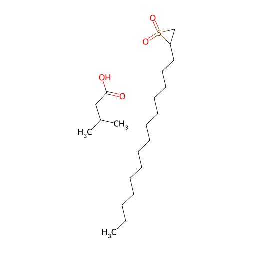 CC(C)CC(=O)O.CCCCCCCCCCCCCCC1CS1(=O)=O